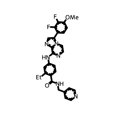 CCc1cc(Nc2nccn3c(-c4ccc(OC)c(F)c4F)cnc23)ccc1C(=O)NCc1ccncc1